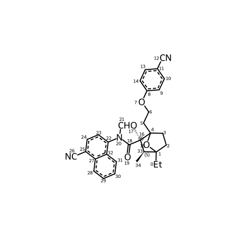 CCC12CCC(CCOc3ccc(C#N)cc3)(O1)[C@](C)(C(=O)N(C=O)c1ccc(C#N)c3ccccc13)[C@@H]2C